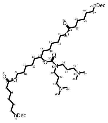 CCCCCCCCCCCCCCCC(=O)OCCCCCC(CCCCCOC(=O)CCCCCCCCCCCCCCC)OC(=O)N(CCCN(C)C)CCCN(C)C